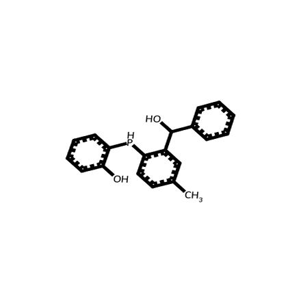 Cc1ccc(Pc2ccccc2O)c(C(O)c2ccccc2)c1